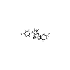 Cc1ccc(-c2cnn(-c3cccc(C)c3)c2O)cc1